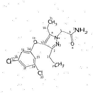 CCc1nn(CC(N)=O)c(CC)c1Oc1cc(Cl)cc(Cl)c1